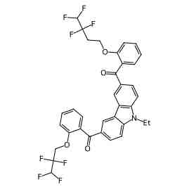 CCn1c2ccc(C(=O)c3ccccc3OCCC(F)(F)C(F)F)cc2c2cc(C(=O)c3ccccc3OCC(F)(F)C(F)F)ccc21